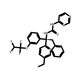 O=C(Nc1ccncn1)N[C@@](Cc1ccccc1)(c1cccc(OC(F)(F)C(F)F)c1)c1ccc(CI)cn1